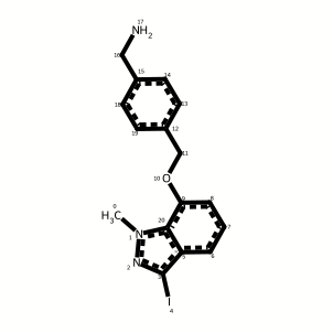 Cn1nc(I)c2cccc(OCc3ccc(CN)cc3)c21